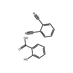 N#Cc1ccccc1C#N.O=C(O)c1ccccc1S